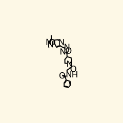 Cc1nn(C)c2cc(-c3noc(C4CCN(C(=O)CNC(=O)c5ccccc5)CC4)n3)ncc12